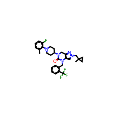 Cc1cccc(F)c1N1CCC(N2Cc3nn(CC4(C)CC4)cc3N(Cc3ccccc3C(F)(F)F)C2=O)CC1